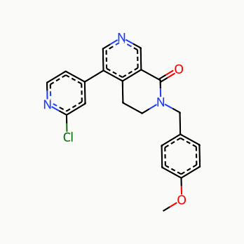 COc1ccc(CN2CCc3c(cncc3-c3ccnc(Cl)c3)C2=O)cc1